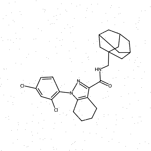 O=C(NCC12CC3CC(CC(C3)C1)C2)c1nn(-c2ccc(Cl)cc2Cl)c2c1CCCC2